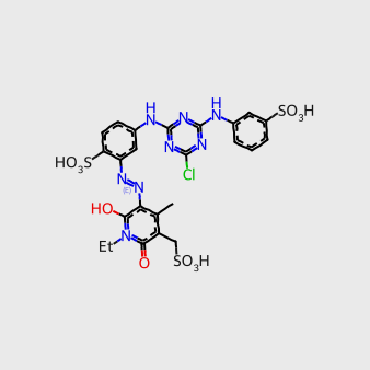 CCn1c(O)c(/N=N/c2cc(Nc3nc(Cl)nc(Nc4cccc(S(=O)(=O)O)c4)n3)ccc2S(=O)(=O)O)c(C)c(CS(=O)(=O)O)c1=O